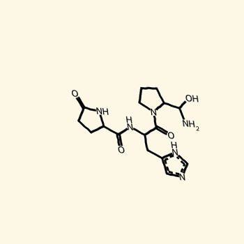 NC(O)C1CCCN1C(=O)C(Cc1cnc[nH]1)NC(=O)C1CCC(=O)N1